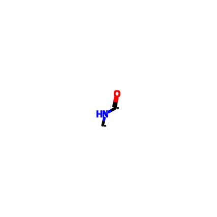 [CH2]N[C]=O